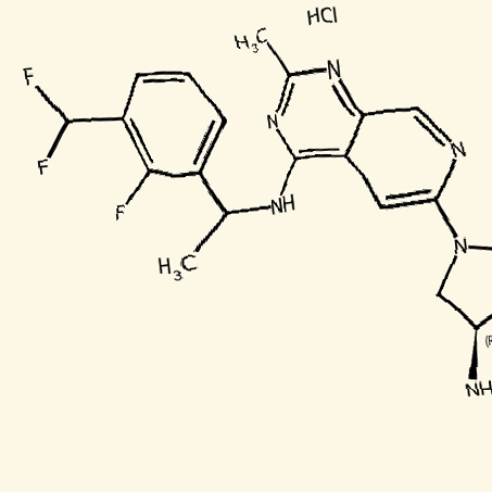 Cc1nc(NC(C)c2cccc(C(F)F)c2F)c2cc(N3CC[C@@H](N)C3)ncc2n1.Cl